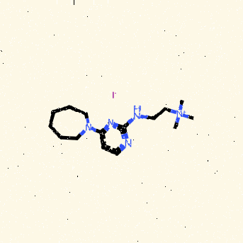 C[N+](C)(C)CCNc1nccc(N2CCCCCC2)n1.[I-]